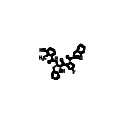 Cc1c(O)cccc1C(=O)N[C@@H](Cc1ccccc1)[C@H](O)C(=O)N1C[C@@H](F)C[C@H]1C(=O)NCc1ccccc1Cl